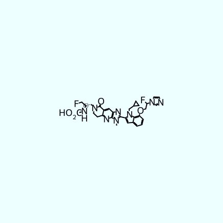 Cn1c(-c2cc3cccc(OCC(F)n4ccnc4)c3n2CC2CC2)nc2cc3c(nc21)CCN(C[C@@H](CF)NC(=O)O)C3=O